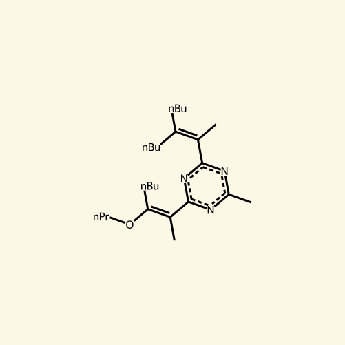 CCCCC(CCCC)=C(C)c1nc(C)nc(/C(C)=C(\CCCC)OCCC)n1